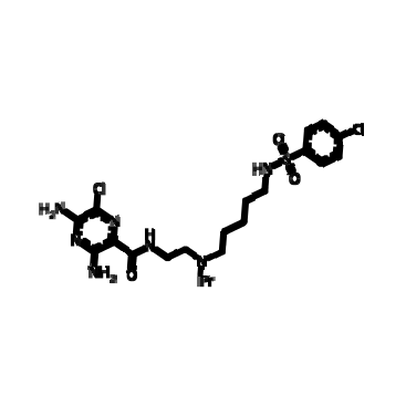 CC(C)N(CCCCCNS(=O)(=O)c1ccc(Cl)cc1)CCNC(=O)c1nc(Cl)c(N)nc1N